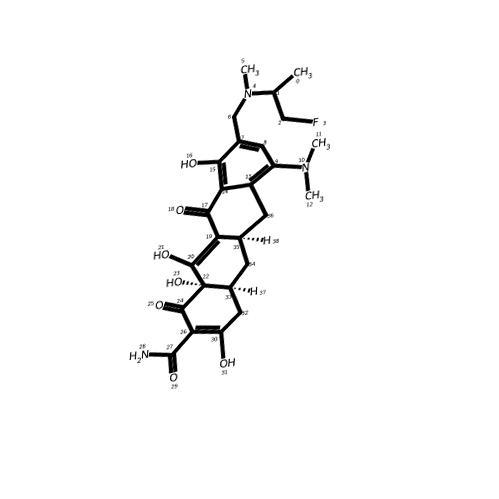 CC(CF)N(C)Cc1cc(N(C)C)c2c(c1O)C(=O)C1=C(O)[C@]3(O)C(=O)C(C(N)=O)=C(O)C[C@@H]3C[C@@H]1C2